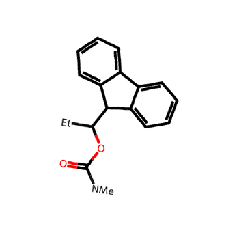 CCC(OC(=O)NC)C1c2ccccc2-c2ccccc21